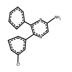 Nc1cnc(-c2cccc(Cl)c2)c(-c2ccccc2)n1